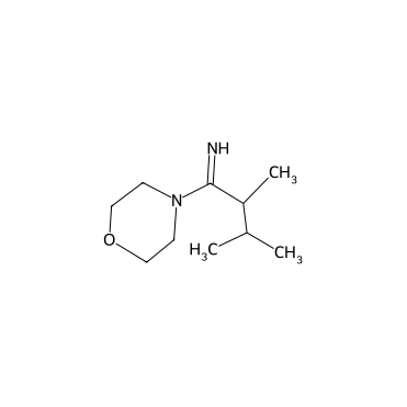 CC(C)C(C)C(=N)N1CCOCC1